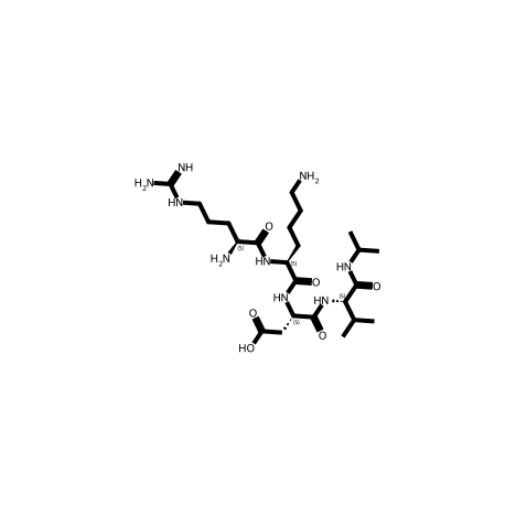 CC(C)NC(=O)[C@@H](NC(=O)[C@H](CC(=O)O)NC(=O)[C@H](CCCCN)NC(=O)[C@@H](N)CCCNC(=N)N)C(C)C